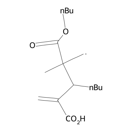 [CH2]C(C)(C(=O)OCCCC)C(CCCC)C(=C)C(=O)O